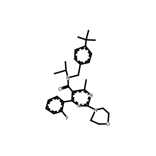 Cc1nc(N2CCOCC2)nc(-c2ccccc2F)c1C(=O)N(Cc1ccc(C(C)(C)C)cc1)C(C)C